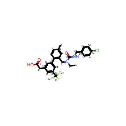 CCN(Cc1cc(C)ccc1-c1cc(CC(=O)O)cc(C(F)(F)F)c1)C(=O)NCc1ccc(Cl)cc1